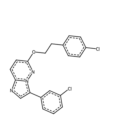 Clc1ccc(CCOc2ccc3ncc(-c4cccc(Cl)c4)n3n2)cc1